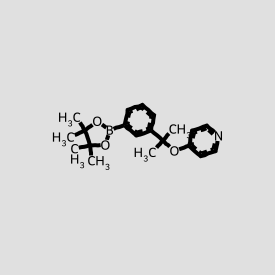 CC(C)(Oc1ccncc1)c1cccc(B2OC(C)(C)C(C)(C)O2)c1